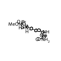 COC(=O)N[C@H](C(=O)N1CCC[C@H]1c1ncc(-c2ccc(-c3ccc4cc(-c5c[nH]c([C@@H]6CCCN6C(=O)[C@@H](N)C6CCOCC6)n5)ccc4c3)cc2)[nH]1)C(C)C